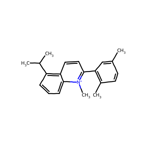 Cc1ccc(C)c(-c2ccc3c(C(C)C)cccc3[n+]2C)c1